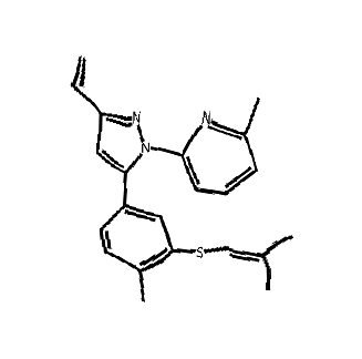 C=Cc1cc(-c2ccc(C)c(SC=C(C)C)c2)n(-c2cccc(C)n2)n1